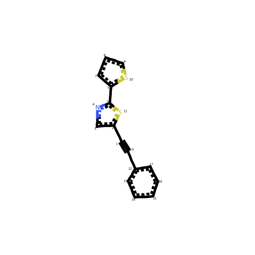 C(#Cc1cnc(-c2cccs2)s1)c1ccccc1